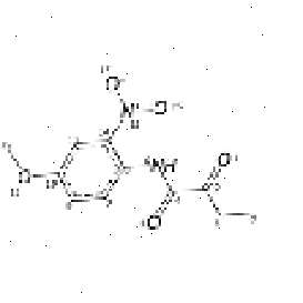 CCC(=O)C(=O)Nc1ccc(OC)cc1[N+](=O)[O-]